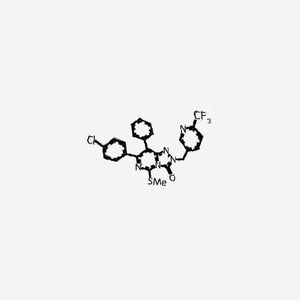 CSc1nc(-c2ccc(Cl)cc2)c(-c2ccccc2)c2nn(Cc3ccc(C(F)(F)F)nc3)c(=O)n12